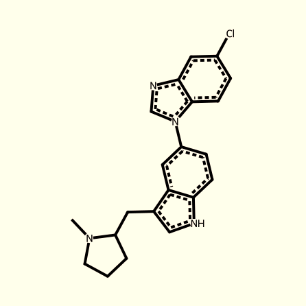 CN1CCCC1Cc1c[nH]c2ccc(-n3cnc4cc(Cl)ccc43)cc12